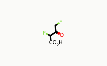 O=C(O)C(F)C(=O)CF